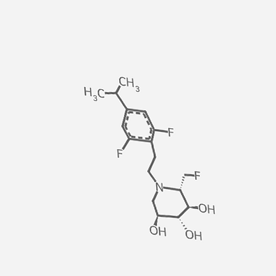 CC(C)c1cc(F)c(CCN2C[C@H](O)[C@@H](O)[C@H](O)[C@H]2CF)c(F)c1